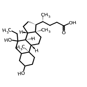 CCC1(O)CC2CC(O)CC[C@]2(C)[C@H]2CC[C@]3(C)[C@@H]([C@H](C)CCC(=O)O)CC[C@H]3[C@@H]21